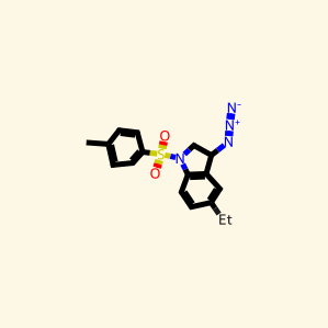 CCc1ccc2c(c1)C(N=[N+]=[N-])CN2S(=O)(=O)c1ccc(C)cc1